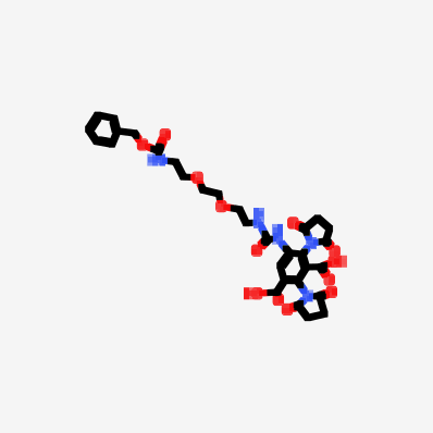 O=C(NCCOCCOCCNC(=O)OCc1ccccc1)Nc1cc(C(=O)O)c(N2C(=O)CCC2=O)c(C(=O)O)c1N1C(=O)CCC1=O